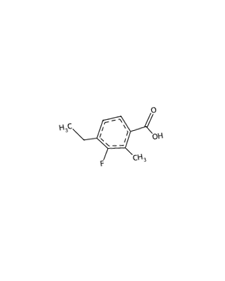 CCc1ccc(C(=O)O)c(C)c1F